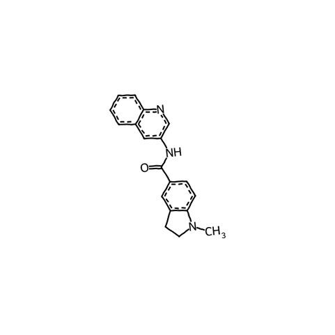 CN1CCc2cc(C(=O)Nc3cnc4ccccc4c3)ccc21